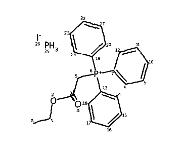 CCOC(=O)C[P+](c1ccccc1)(c1ccccc1)c1ccccc1.P.[I-]